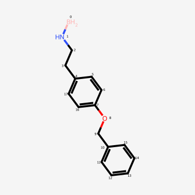 BNCCc1ccc(OCc2ccccc2)cc1